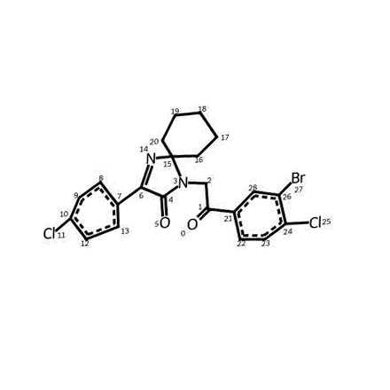 O=C(CN1C(=O)C(c2ccc(Cl)cc2)=NC12CCCCC2)c1ccc(Cl)c(Br)c1